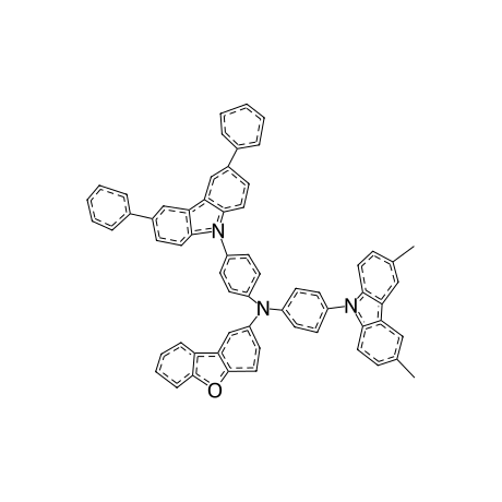 Cc1ccc2c(c1)c1cc(C)ccc1n2-c1ccc(N(c2ccc(-n3c4ccc(-c5ccccc5)cc4c4cc(-c5ccccc5)ccc43)cc2)c2ccc3oc4ccccc4c3c2)cc1